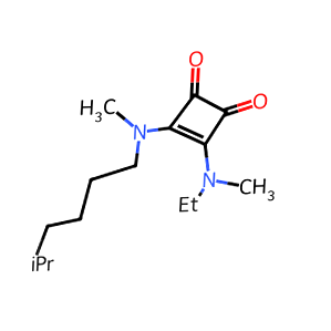 CCN(C)c1c(N(C)CCCCC(C)C)c(=O)c1=O